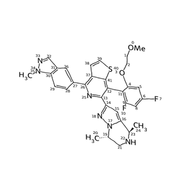 COCCOc1cc(F)cc(F)c1-c1c(-c2cc3n(n2)[C@@H](C)CN[C@@H]3C)nc(-c2ccc3c(cnn3C)c2)c2ccsc12